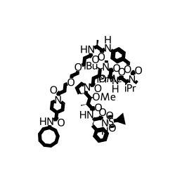 CC[C@H](C)[C@@H]([C@@H](CC(=O)N1CCC[C@H]1[C@H](OC)[C@@H](C)C(=O)N[C@@H](Cc1ccccc1)C(=O)NS(=O)(=O)C1CC1)OC)N(C)C(=O)[C@@H](NC(=O)[C@H](C(C)C)N(C)C(=O)OCc1ccc(NC(=O)[C@H](C)NC(=O)CCOCCOCCC(=O)N2CCC(C(=O)NC3CCCCCCCC3)CC2)cc1)C(C)C